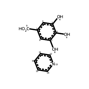 O=C(O)c1cc(O)c(O)c(O)c1.c1ccncc1